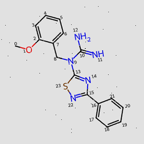 COc1ccccc1CN(C(=N)N)c1nc(-c2ccccc2)ns1